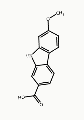 COc1ccc2c(c1)[nH]c1cc(C(=O)O)ccc12